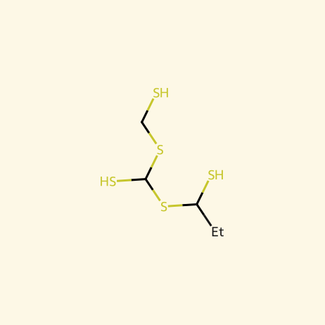 CCC(S)SC(S)SCS